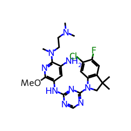 COc1nc(N(C)CCN(C)C)c(N)cc1Nc1ncnc(N2CC(C)(C)c3cc(F)c(Cl)cc32)n1